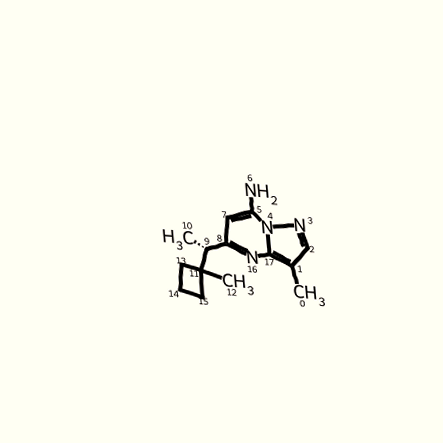 Cc1cnn2c(N)cc([C@@H](C)C3(C)CCC3)nc12